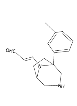 Cc1cccc(C23CCC(CNC2)N3C=CC=O)c1